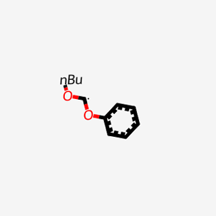 CCCCO[CH]Oc1ccccc1